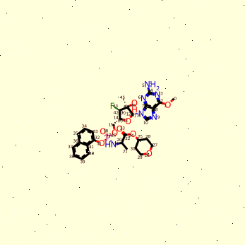 COc1nc(N)nc2c1ncn2[C@@H]1O[C@H](COP(=O)(NC(C)C(=O)OC2CCOCC2)Oc2cccc3ccccc23)[C@@H](F)[C@@]1(C)O